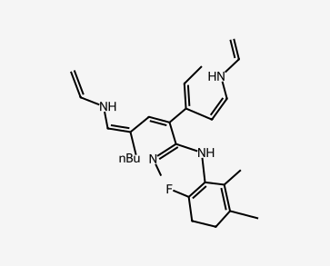 C=CN\C=C/C(=C\C)C(=C/C(=C\NC=C)CCCC)/C(=N/C)NC1=C(F)CCC(C)=C1C